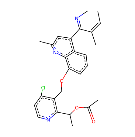 C/C=C(C)\C(=N/C)c1cc(C)nc2c(OCc3c(Cl)ccnc3C(C)OC(C)=O)cccc12